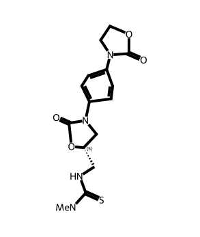 CNC(=S)NC[C@H]1CN(c2ccc(N3CCOC3=O)cc2)C(=O)O1